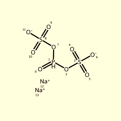 O=[PH](OS(=O)(=O)[O-])OS(=O)(=O)[O-].[Na+].[Na+]